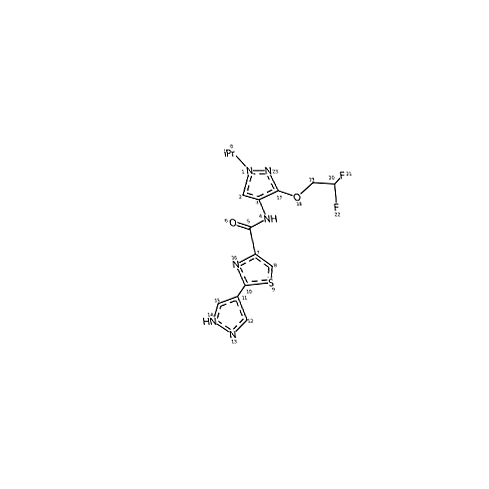 CC(C)n1cc(NC(=O)c2csc(-c3cn[nH]c3)n2)c(OCC(F)F)n1